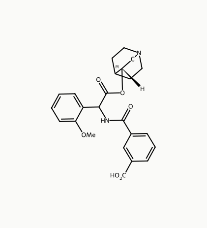 COc1ccccc1C(NC(=O)c1cccc(C(=O)O)c1)C(=O)O[C@H]1CN2CCC1CC2